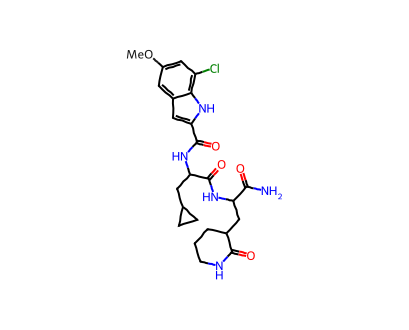 COc1cc(Cl)c2[nH]c(C(=O)NC(CC3CC3)C(=O)NC(CC3CCCNC3=O)C(N)=O)cc2c1